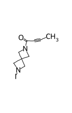 CC#CC(=O)N1CC2(CN(I)C2)C1